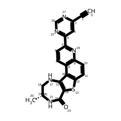 C#Cc1cc(-c2ccc3c(ccc4sc5c(c43)NC[C@@H](C)NC5=O)n2)ncn1